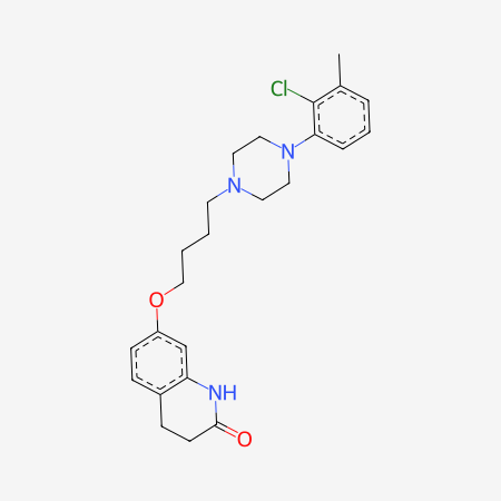 Cc1cccc(N2CCN(CCCCOc3ccc4c(c3)NC(=O)CC4)CC2)c1Cl